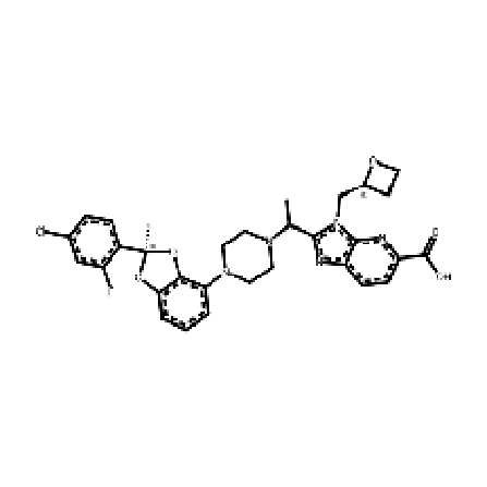 CC(c1nc2ccc(C(=O)O)nc2n1C[C@@H]1CCO1)N1CCN(c2cccc3c2O[C@](C)(c2ccc(Cl)cc2F)O3)CC1